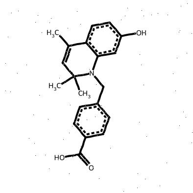 CC1=CC(C)(C)N(Cc2ccc(C(=O)O)cc2)c2cc(O)ccc21